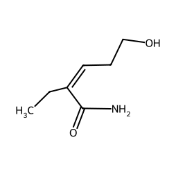 CCC(=CCCO)C(N)=O